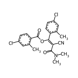 Cc1cc(Cl)ccc1C(=O)OC(=C(C#N)C(=O)N(C)C)c1ccc(Cl)cc1C